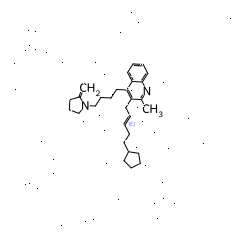 C=C1CCCN1CCCCc1c(C/C=C/CCC2CCCC2)c(C)nc2ccccc12